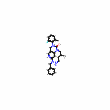 CCC(CCN)CN1C(=O)N(c2c(C)cccc2F)Cc2cnc(NCc3ccccc3)cc21